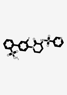 CS(=O)(=O)c1ccccc1-c1ccc(N2CCCC(NS(=O)(=O)c3cccnc3)C2=O)c(F)c1